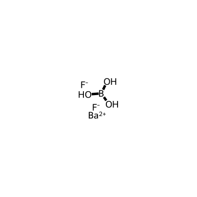 OB(O)O.[Ba+2].[F-].[F-]